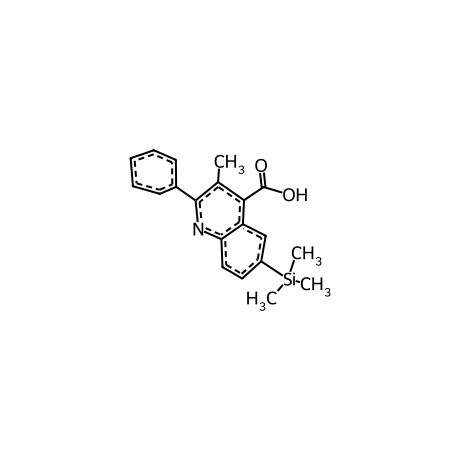 Cc1c(-c2ccccc2)nc2ccc([Si](C)(C)C)cc2c1C(=O)O